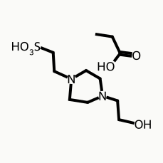 CCC(=O)O.O=S(=O)(O)CCN1CCN(CCO)CC1